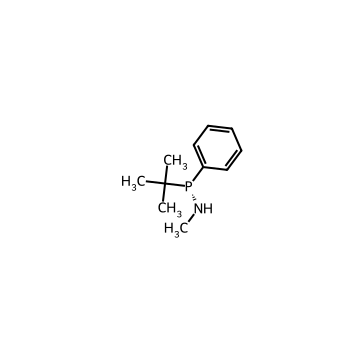 CN[P@@](c1ccccc1)C(C)(C)C